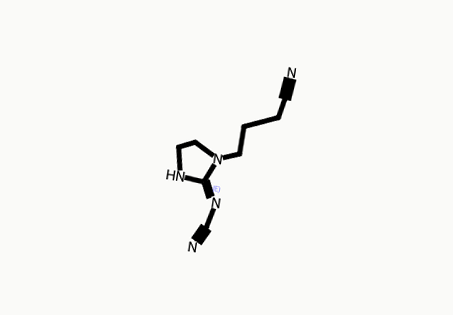 N#CCCCN1CCN/C1=N\C#N